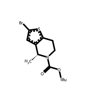 C[C@@H]1c2cc(Br)sc2CCN1C(=O)OC(C)(C)C